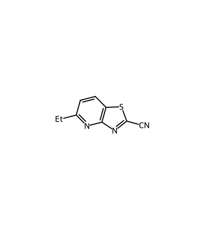 CCc1ccc2sc(C#N)nc2n1